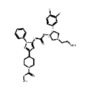 COCCN1C[C@@H](NC(=O)Nc2cc(C3CCN(C(=O)OC(C)(C)C)CC3)nn2-c2ccccc2)[C@H](c2ccc(F)c(F)c2)C1